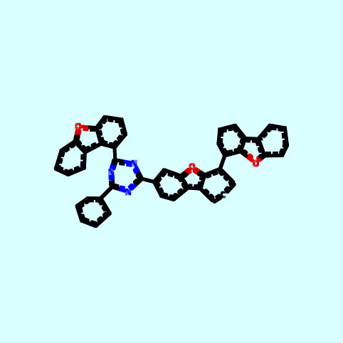 c1ccc(-c2nc(-c3ccc4c(c3)oc3c(-c5cccc6c5oc5ccccc56)cccc34)nc(-c3cccc4oc5ccccc5c34)n2)cc1